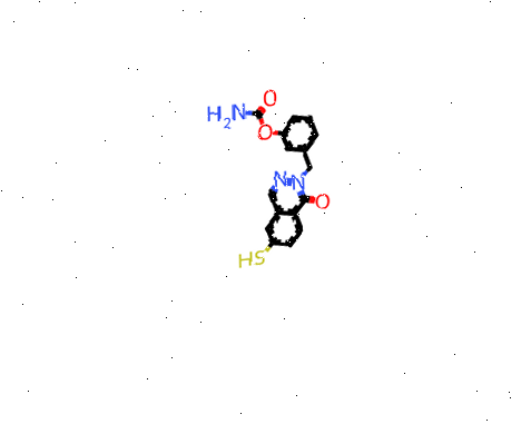 NC(=O)Oc1cccc(Cn2ncc3cc(S)ccc3c2=O)c1